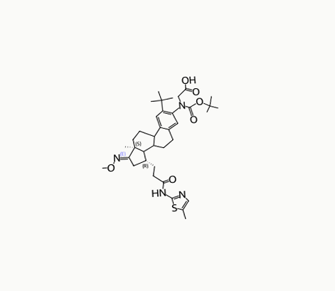 CO/N=C1\C[C@@H](CCC(=O)Nc2ncc(C)s2)C2C3CCc4cc(N(CC(=O)O)C(=O)OC(C)(C)C)c(C(C)(C)C)cc4C3CC[C@]12C